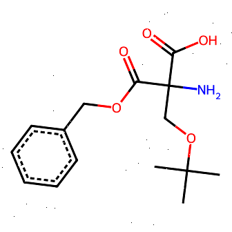 CC(C)(C)OCC(N)(C(=O)O)C(=O)OCc1ccccc1